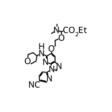 CCOC(=O)C(OCCOc1cc2ncn(-c3ccc(C#N)cn3)c2nc1NC1CCOCC1)N(C)C